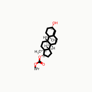 CCCOC(=O)O[C@H]1CC[C@H]2[C@@H]3CCC4=C[C@@H](O)CC[C@]4(C)[C@H]3CC[C@]12C